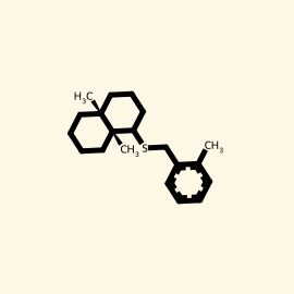 Cc1ccccc1CSC1CCC[C@@]2(C)CCCC[C@@]12C